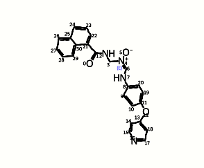 O=C(NC/[N+]([O-])=C\Nc1ccc(Oc2ccncc2)cc1)c1cccc2ccccc12